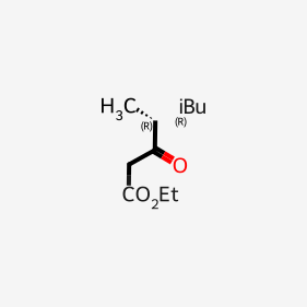 CCOC(=O)CC(=O)[C@H](C)[C@H](C)CC